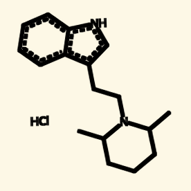 CC1CCCC(C)N1CCc1c[nH]c2ccccc12.Cl